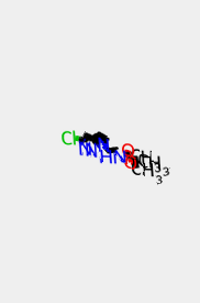 CC(C)(C)OC(=O)NCCn1ccc2cc(Cl)nnc21